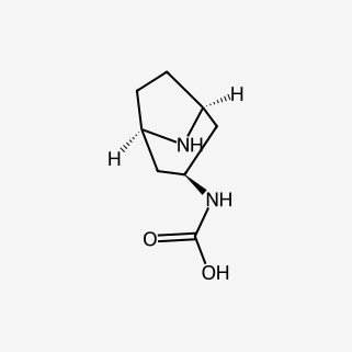 O=C(O)N[C@H]1C[C@H]2CC[C@@H](C1)N2